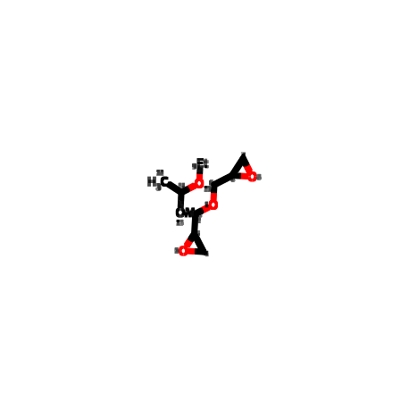 C(OCC1CO1)C1CO1.CCOC(C)OC